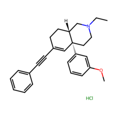 CCN1CC[C@@]2(c3cccc(OC)c3)C=C(C#Cc3ccccc3)CC[C@@H]2C1.Cl